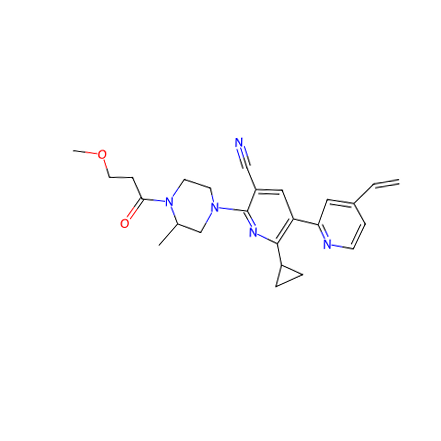 C=Cc1ccnc(-c2cc(C#N)c(N3CCN(C(=O)CCOC)C(C)C3)nc2C2CC2)c1